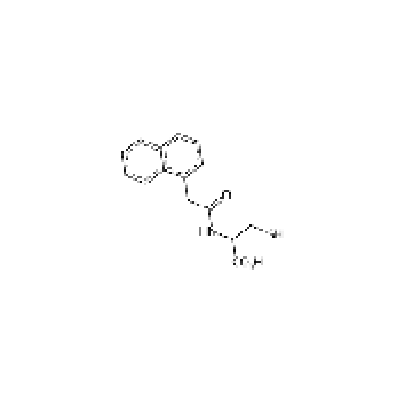 O=C(Cc1cccc2ccccc12)NC(CS)C(=O)O